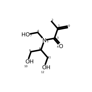 C=C(C)C(=O)N(CO)C(CO)CO